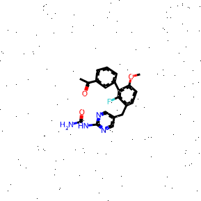 COc1ccc(Cc2cnc(NC(N)=O)nc2)c(F)c1-c1cccc(C(C)=O)c1